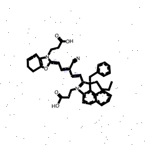 CCCCC1(Cc2ccccc2)C(/C=C/C(C#N)=C/C=C2\OC3=C(C=CCC3)N2CCC(=O)O)=[N+](CCC(=O)O)c2ccc3ccccc3c21